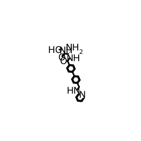 NC[C@H](NC(=O)c1ccc(-c2ccc(CNc3ccccn3)cc2)cc1)C(=O)NO